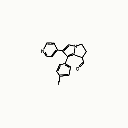 O=CC1CCn2cc(-c3ccncc3)c(-c3ccc(F)cc3)c21